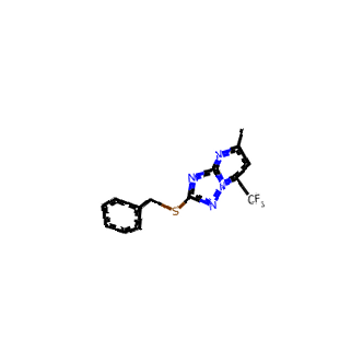 Cc1cc(C(F)(F)F)n2nc(SCc3ccccc3)nc2n1